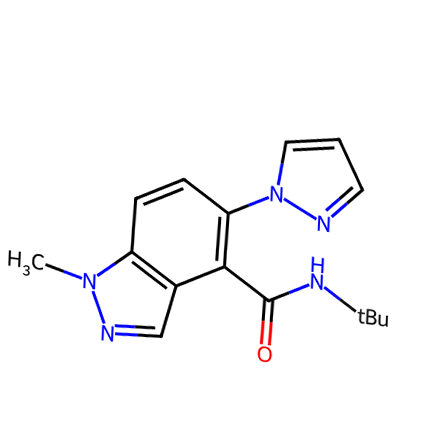 Cn1ncc2c(C(=O)NC(C)(C)C)c(-n3cccn3)ccc21